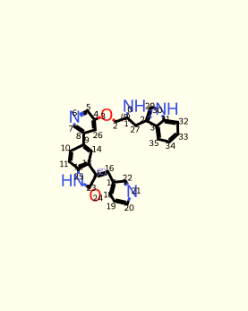 N[C@H](COc1cncc(-c2ccc3c(c2)/C(=C/c2cccnc2)C(=O)N3)c1)Cc1c[nH]c2ccccc12